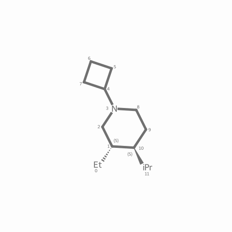 CC[C@@H]1CN(C2CCC2)CC[C@H]1C(C)C